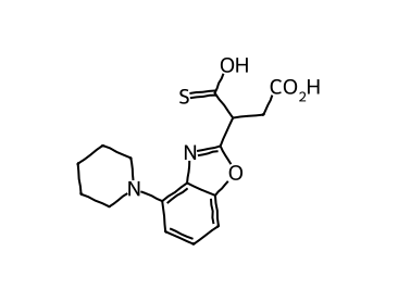 O=C(O)CC(C(O)=S)c1nc2c(N3CCCCC3)cccc2o1